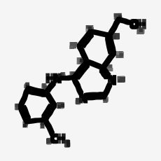 Cc1cccc(Nc2ncnc3cc(CO)ccc23)c1